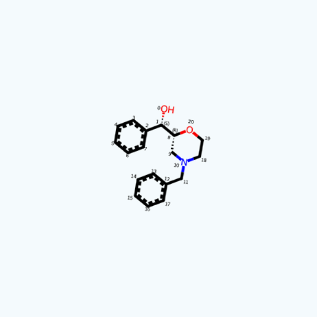 O[C@@H](c1ccccc1)[C@H]1CN(Cc2ccccc2)CCO1